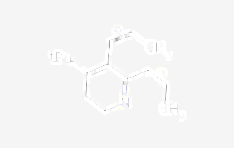 C/C=C\C1=NCCC(C(C)(C)C)=C1/C=C\C